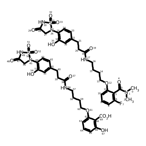 CN(C)C(=O)c1c(F)cccc1OCCCCNC(=O)CCc1ccc(N2CC(=O)NS2(=O)=O)c(O)c1.O=C(CCc1ccc(N2CC(=O)NS2(=O)=O)c(O)c1)NCCCCOc1cccc(O)c1C(=O)O